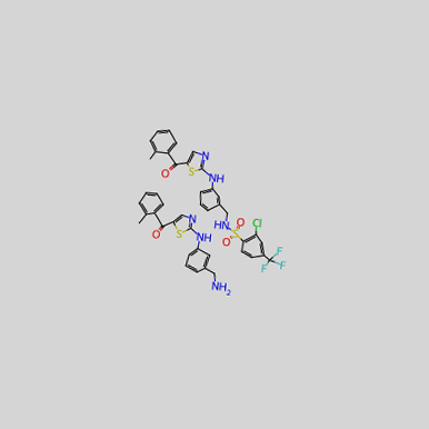 Cc1ccccc1C(=O)c1cnc(Nc2cccc(CN)c2)s1.Cc1ccccc1C(=O)c1cnc(Nc2cccc(CNS(=O)(=O)c3ccc(C(F)(F)F)cc3Cl)c2)s1